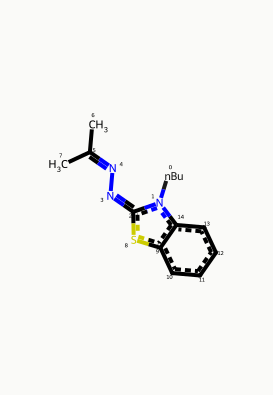 CCCCn1c(=NN=C(C)C)sc2ccccc21